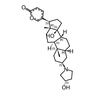 C[C@]12CC[C@H](N3CC[C@H](O)C3)C[C@H]1CC[C@@H]1[C@@H]2CC[C@]2(C)[C@@H](c3ccc(=O)oc3)CC[C@]12O